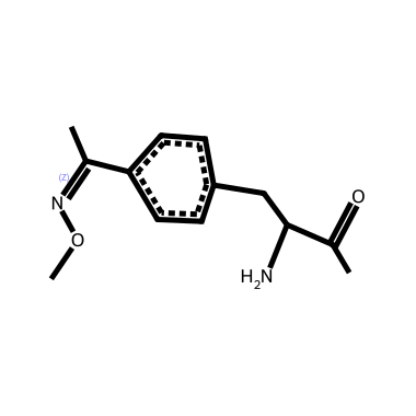 CO/N=C(/C)c1ccc(CC(N)C(C)=O)cc1